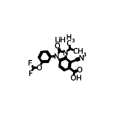 CC(C)n1c(=O)n(-c2cccc(OC(F)F)c2)c2ccc(C(=O)O)c(C#N)c21.[LiH]